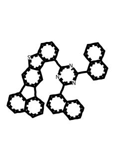 c1ccc2c(-c3nc(-c4cccc5ccccc45)nc(-c4cccc5sc6cc7c(cc6c45)-c4cccc5cccc-7c45)n3)cccc2c1